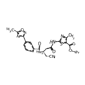 Cc1nc(-c2cccc(C(=O)N[C@H](CC#N)CC(=O)Nc3nc(C)c(C(=O)OC(C)C)s3)c2)no1